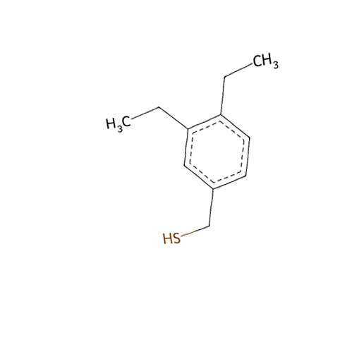 CCc1ccc(CS)cc1CC